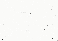 CCOC(=O)N(C)C1CCCCC1C(=O)O